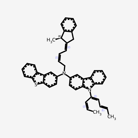 C\C=C/C(=C\C=C\C)n1c2ccccc2c2cc(N(C/C=C\C=C3\Cc4ccccc4[C@@H]3C)c3ccc4sc5ccccc5c4c3)ccc21